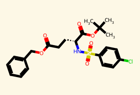 CC(C)(C)OC(=O)[C@@H](CCC(=O)OCc1ccccc1)NS(=O)(=O)c1ccc(Cl)cc1